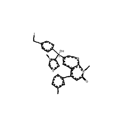 Cc1cccc(-c2cc(=O)n(C)c3ncc([C@](O)(c4ccc(CI)cc4)c4cncn4C)cc23)c1